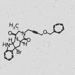 C[C@H]1C(=O)N2[C@H]3Nc4ccccc4[C@@]3(Br)C[C@H]2C(=O)N1CC#CCOCc1ccccc1